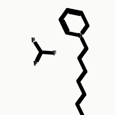 CCCCCCCN1C=CC=CC1.FC(F)F